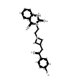 O=C(CC1CN(CCn2c(=O)[nH]c3ccccc3c2=O)C1)c1ccc(F)cc1